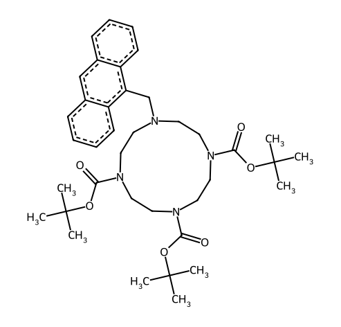 CC(C)(C)OC(=O)N1CCN(Cc2c3ccccc3cc3ccccc23)CCN(C(=O)OC(C)(C)C)CCN(C(=O)OC(C)(C)C)CC1